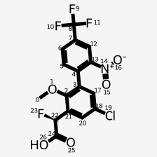 COc1c(-c2ccc(C(F)(F)F)cc2[N+](=O)[O-])cc(Cl)cc1[C@H](F)C(=O)O